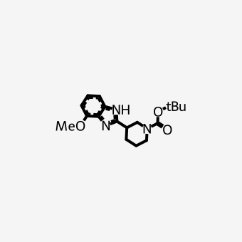 COc1cccc2[nH]c(C3CCCN(C(=O)OC(C)(C)C)C3)nc12